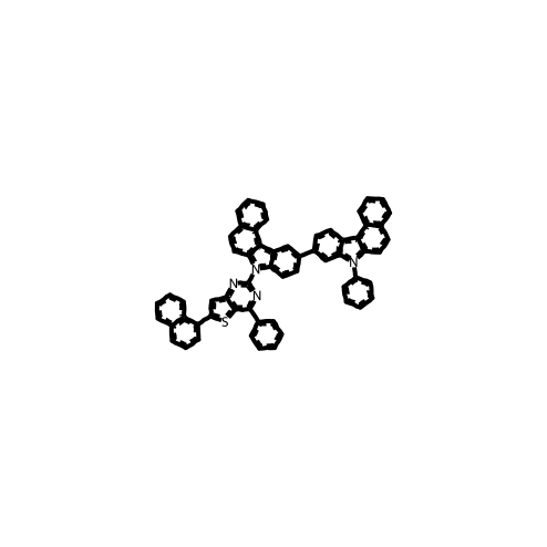 c1ccc(-c2nc(-n3c4ccc(-c5ccc6c7c8ccccc8ccc7n(-c7ccccc7)c6c5)cc4c4c5ccccc5ccc43)nc3cc(-c4cccc5ccccc45)sc23)cc1